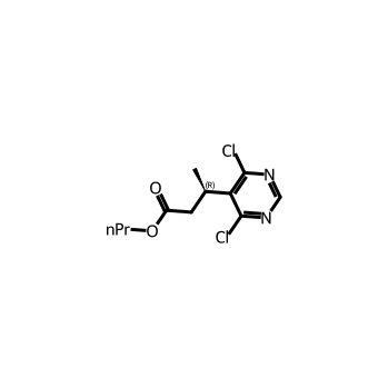 CCCOC(=O)C[C@@H](C)c1c(Cl)ncnc1Cl